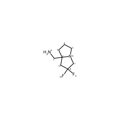 NCC12CCCN1CC(F)(F)C2